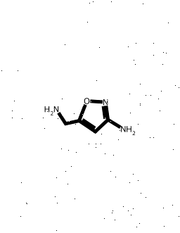 NCc1cc(N)no1